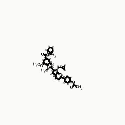 COc1cc(C(=O)N2CC3CCC2[C@@H]3N)cc2nc(-c3cc4ccc(-c5ccc(OC(C)=O)cc5)nc4n3CC3CC3)n(C)c12